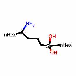 CCCCCCC(N)CCC[Si](O)(O)CCCCCC